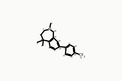 CN1CCC(C)(C)c2ccc(-c3ccc(C(F)(F)F)cc3)cc2C1